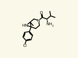 CC(C)[C@@H](N)C(=O)N1CCC2(c3ccc(Cl)cc3)NC2(C)C1